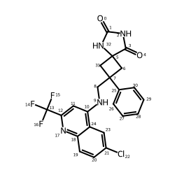 O=C1NC(=O)C2(CC(CNc3cc(C(F)(F)F)nc4ccc(Cl)cc34)(c3ccccc3)C2)N1